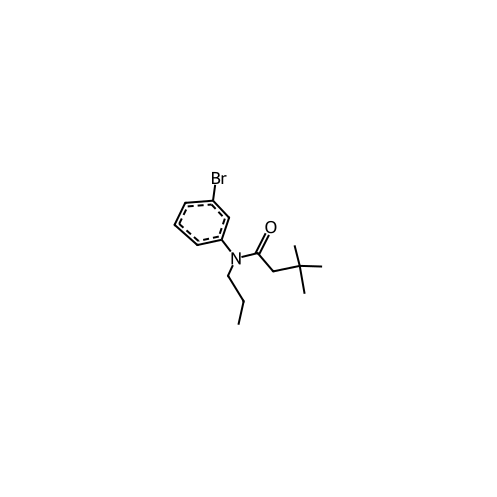 CCCN(C(=O)CC(C)(C)C)c1cccc(Br)c1